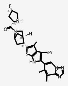 Cc1c(-c2[nH]c3sc([C@@H]4CC5C[C@H]4CN5C(=O)[C@@H]4C[C@H](F)CN4)c(C)c3c2C(C)C)cn2ncnc2c1C